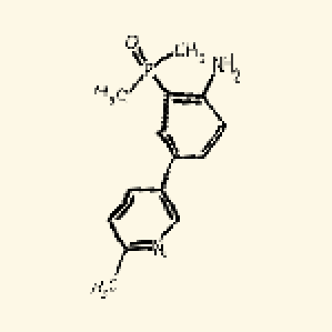 Cc1ccc(-c2ccc(N)c(P(C)(C)=O)c2)cn1